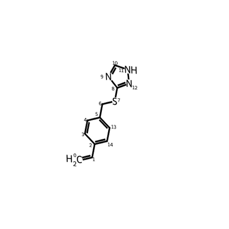 C=Cc1ccc(CSc2nc[nH]n2)cc1